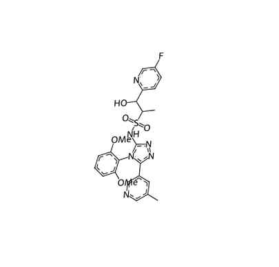 COc1cccc(OC)c1-n1c(NS(=O)(=O)C(C)C(O)c2ccc(F)cn2)nnc1-c1cncc(C)c1